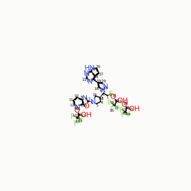 FCC([C@H]1CCN(c2nc3cccnc3o2)C1)n1cc(-c2ncnc3[nH]ccc23)cn1.O=C(O)C(F)(F)F.O=C(O)C(F)(F)F.O=C(O)C(F)(F)F